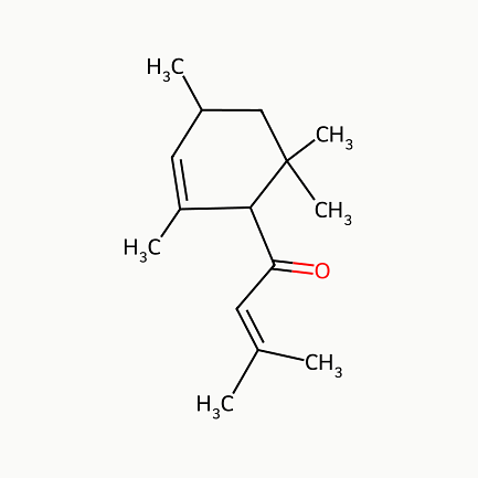 CC(C)=CC(=O)C1C(C)=CC(C)CC1(C)C